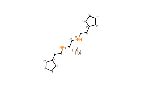 Br.Br.C1CCC(CCPCCPCCC2CCCC2)C1